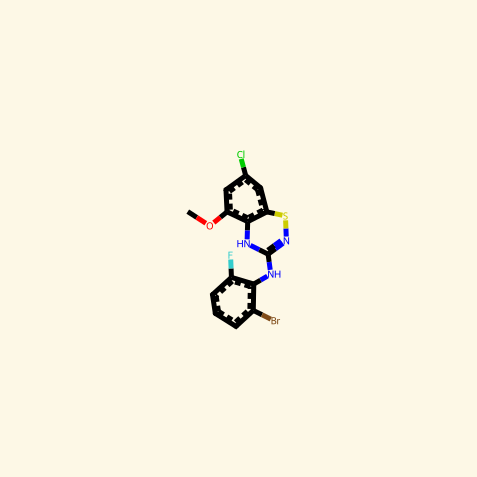 COc1cc(Cl)cc2c1NC(Nc1c(F)cccc1Br)=NS2